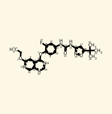 CCOc1cc2c(Oc3ccc(NC(=O)Nc4cc(C(C)(C)C)on4)cc3F)ncnc2cn1